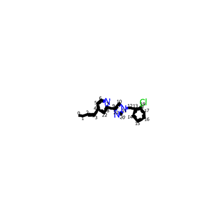 CC/C=C/c1ccnc(-c2cn(Cc3ccccc3Cl)cn2)c1